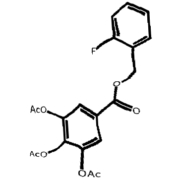 CC(=O)Oc1cc(C(=O)OCc2ccccc2F)cc(OC(C)=O)c1OC(C)=O